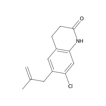 C=C(C)Cc1cc2c(cc1Cl)NC(=O)CC2